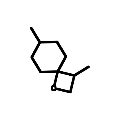 CC1CCC2(CC1)OCC2C